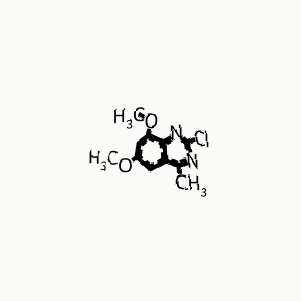 COc1cc(OC)c2nc(Cl)nc(C)c2c1